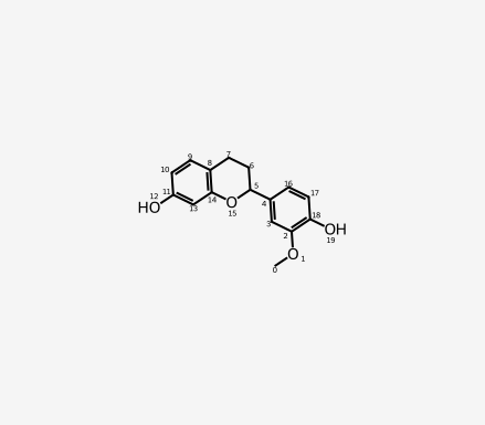 COc1cc(C2CCc3ccc(O)cc3O2)ccc1O